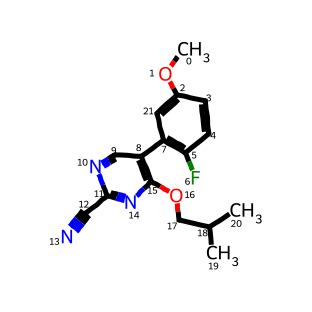 COc1ccc(F)c(-c2cnc(C#N)nc2OCC(C)C)c1